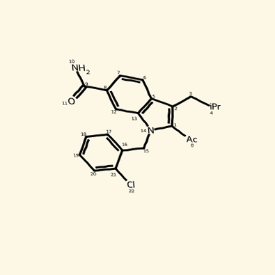 CC(=O)c1c(CC(C)C)c2ccc(C(N)=O)cc2n1Cc1ccccc1Cl